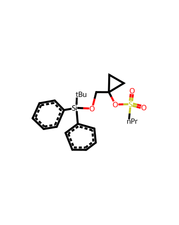 CCCS(=O)(=O)OC1(CO[Si](c2ccccc2)(c2ccccc2)C(C)(C)C)CC1